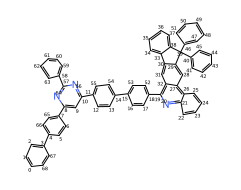 c1ccc(-c2ccc(-c3cc(-c4ccc(-c5ccc(-c6nc7ccccc7c7cc8c(cc67)-c6ccccc6C8(c6ccccc6)c6ccccc6)cc5)cc4)nc(-c4ccccc4)n3)cc2)cc1